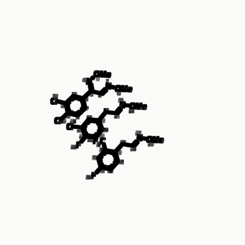 CON=CC(=NOC)c1ccc(Cl)c(Cl)c1.CON=CCc1ccc(F)c(Cl)c1.CON=CCc1ccc(F)cc1C(F)(F)F